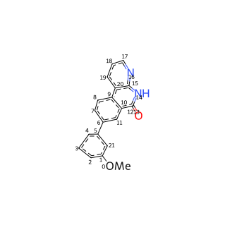 COc1cccc(-c2ccc3c(c2)c(=O)[nH]c2ncccc23)c1